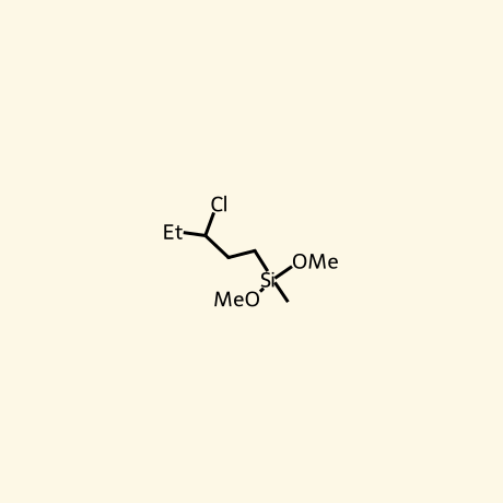 CCC(Cl)CC[Si](C)(OC)OC